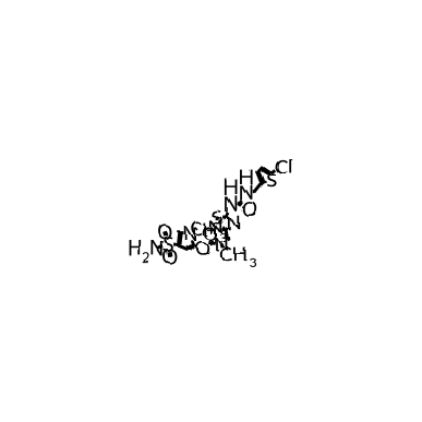 CN(Cc1nsc(NC(=O)NCc2ccc(Cl)s2)n1)C(=O)Oc1cc(S(N)(=O)=O)cn1C